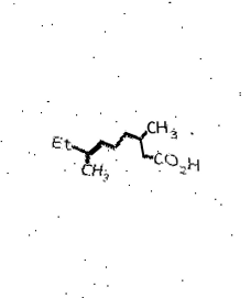 CCC(C)=CCCC(C)CC(=O)O